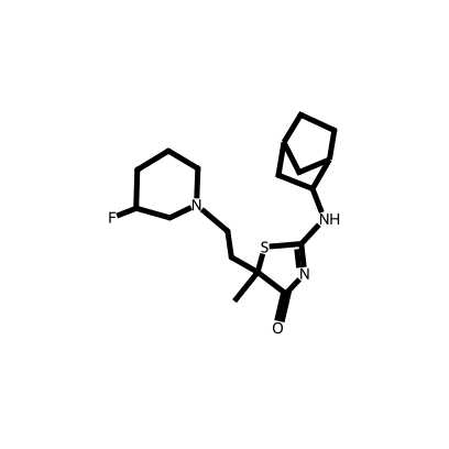 CC1(CCN2CCCC(F)C2)SC(NC2CC3CCC2C3)=NC1=O